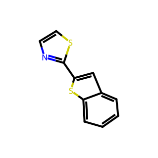 c1ccc2sc(-c3nccs3)cc2c1